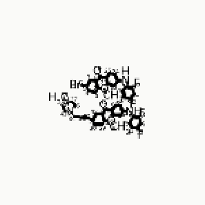 COc1ccc(Br)cc1C(=O)c1ccc(Nc2ccc(F)cc2F)cc1.COc1ccc(C#CCN2CCN(C)CC2)cc1C(=O)c1ccc(Nc2ccc(F)cc2F)cc1